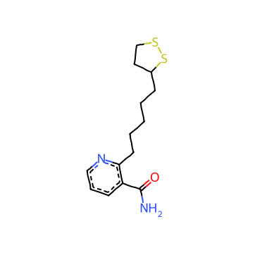 NC(=O)c1cccnc1CCCCCC1CCSS1